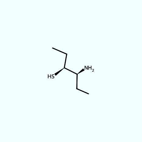 CC[C@H](N)[C@@H](S)CC